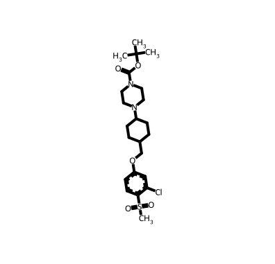 CC(C)(C)OC(=O)N1CCN(C2CCC(COc3ccc(S(C)(=O)=O)c(Cl)c3)CC2)CC1